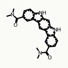 CN(C)C(=O)c1ccc2[nH]c3cc4[nH]c5ccc(C(=O)N(C)C)cc5c4cc3c2c1